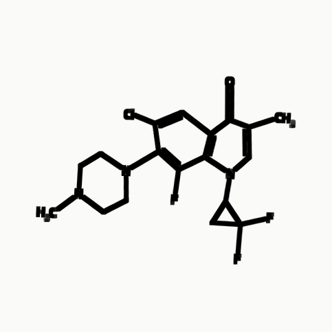 Cc1cn(C2CC2(F)F)c2c(F)c(N3CCN(C)CC3)c(Cl)cc2c1=O